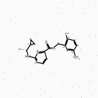 C[C@@H](Nc1nccc(C(=O)NCc2cc(C(F)(F)F)ccc2F)n1)C1CC1